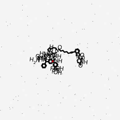 NC(=O)NC[C@H](NC(=O)[C@@H]1CC[C@@H]2CCN(C(=O)CCCCCC#Cc3cccc4c3CN(C3CCC(=O)NC3=O)C4=O)C[C@H](NC(=O)c3cc4cc(C(F)(F)P(=O)(O)O)ccc4[nH]3)C(=O)N21)C(=O)NC(c1ccccc1)c1ccccc1